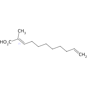 C=CCCCCCC/C=C(\C)C(=O)O